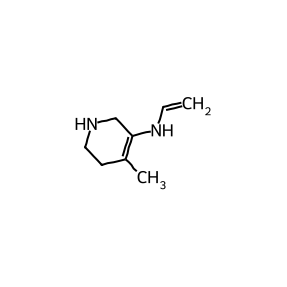 C=CNC1=C(C)CCNC1